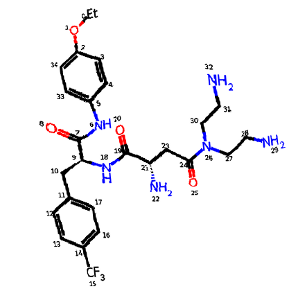 CCOc1ccc(NC(=O)[C@H](Cc2ccc(C(F)(F)F)cc2)NC(=O)[C@@H](N)CC(=O)N(CCN)CCN)cc1